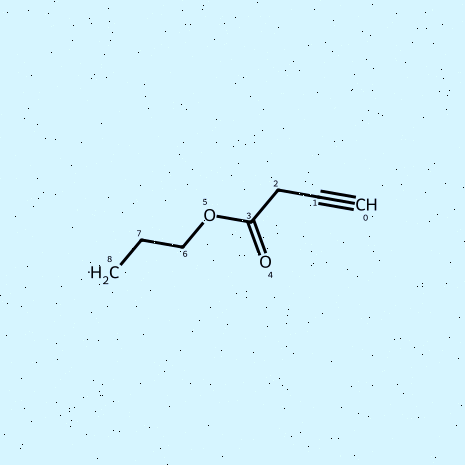 C#CCC(=O)OCC[CH2]